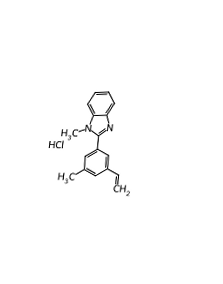 C=Cc1cc(C)cc(-c2nc3ccccc3n2C)c1.Cl